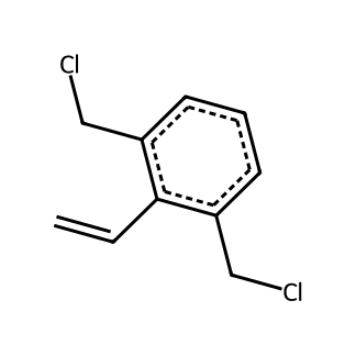 C=Cc1c(CCl)cccc1CCl